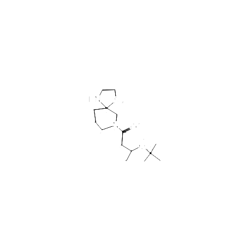 CC(CC(=O)N1CCCC2(C1)NCCS2)OC(C)(C)C